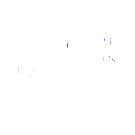 CC#N.CC(C)(O)C(=O)O.N